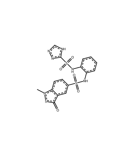 Cn1sc(=O)c2cc(S(=O)(=O)Nc3ccccc3NS(=O)(=O)c3nnc[nH]3)ccc21